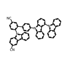 N#Cc1ccc(-n2c3ccccc3c3cc(C#N)ccc32)c(-c2ccc(-n3c4ccccc4c4c(-n5c6ccccc6c6ccccc65)cccc43)cc2)c1